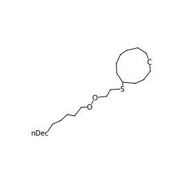 CCCCCCCCCCCCCCCOOCCSC1CCCCCCCCCC1